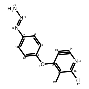 Cc1c(Oc2ccc(N=NN)cc2)c#cnc1Cl